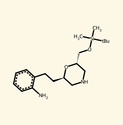 CC(C)(C)[Si](C)(C)OC[C@@H]1CNC[C@@H](CCc2ccccc2N)O1